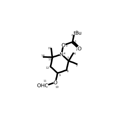 CC(C)(C)C(=O)ON1C(C)(C)CC(OC=O)CC1(C)C